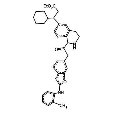 CCOC(=O)CC(c1ccc2c(c1)CCNC2C(=O)Cc1ccc2nc(Nc3ccccc3C)oc2c1)C1CCCCC1